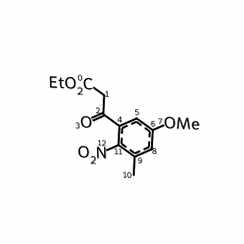 CCOC(=O)CC(=O)c1cc(OC)cc(C)c1[N+](=O)[O-]